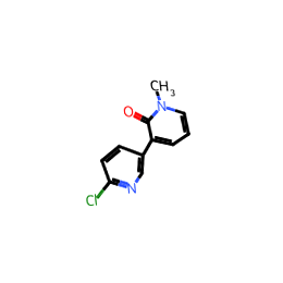 Cn1cccc(-c2ccc(Cl)nc2)c1=O